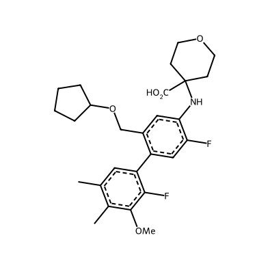 COc1c(C)c(C)cc(-c2cc(F)c(NC3(C(=O)O)CCOCC3)cc2COC2CCCC2)c1F